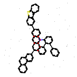 c1ccc(-c2ccccc2-c2c(-c3ccccc3)cccc2N(c2ccc(-c3ccc4c(ccc5ccccc54)c3)cc2)c2ccc(-c3ccc4sc5ccccc5c4c3)cc2)cc1